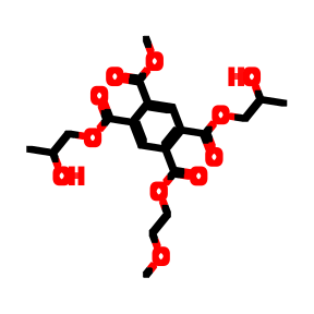 COCCOC(=O)c1cc(C(=O)OCC(C)O)c(C(=O)OC)cc1C(=O)OCC(C)O